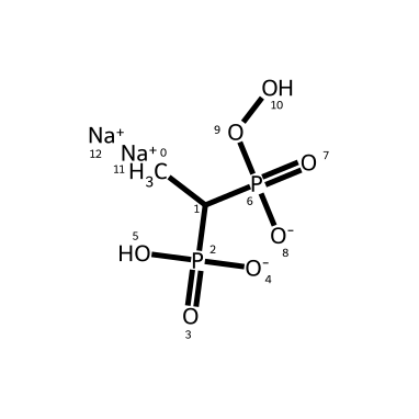 CC(P(=O)([O-])O)P(=O)([O-])OO.[Na+].[Na+]